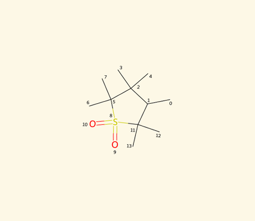 CC1C(C)(C)C(C)(C)S(=O)(=O)C1(C)C